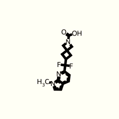 Cn1ccc2ccc(C(F)(F)C3CC4(C3)CN(C(=O)O)C4)nc21